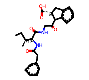 CC[C@H](C)[C@H](NC(=O)Cc1ccccc1)C(=O)NCC(=O)C1c2ccccc2C[C@H]1C(=O)O